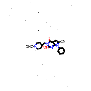 N#Cc1cc2c(=O)n(CC3(O)CCN(C=O)CC3)cnc2n1-c1ccccc1